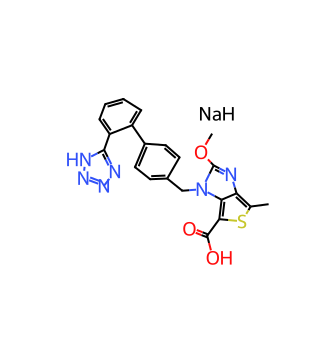 COc1nc2c(C)sc(C(=O)O)c2n1Cc1ccc(-c2ccccc2-c2nnn[nH]2)cc1.[NaH]